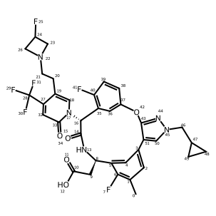 Cc1cc2cc(c1F)[C@@H](CC(=O)O)NC(=O)[C@H](n1cc(CCN3CC(F)C3)c(C(F)(F)F)cc1=O)c1cc(ccc1F)Oc1nn(CC3CC3)cc1-2